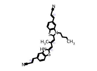 CCCCN1c2cc(/C=C/C#N)ccc2SC1/C=C(C)/C=C1\Nc2cc(/C=C/C#N)ccc2S1